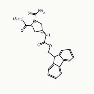 CC(C)(C)OC(=O)N1C[C@H](NC(=O)OCC2c3ccccc3-c3ccccc32)C[C@H]1C(N)=S